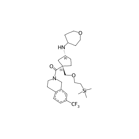 C[Si](C)(C)CCOC[C@]1(C(=O)N2CCc3ccc(C(F)(F)F)cc3C2)CC[C@@H](NC2CCOCC2)C1